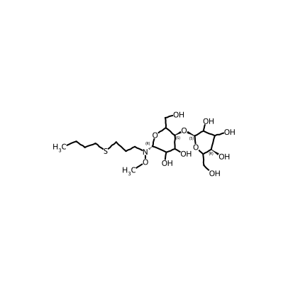 CCCCSCCCN(OC)[C@@H]1OC(CO)[C@@H](O[C@@H]2OC(CO)[C@H](O)C(O)C2O)C(O)C1O